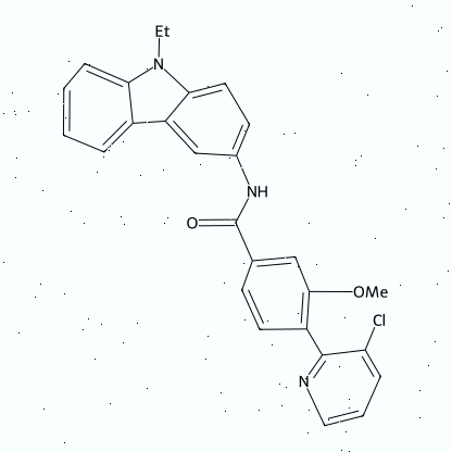 CCn1c2ccccc2c2cc(NC(=O)c3ccc(-c4ncccc4Cl)c(OC)c3)ccc21